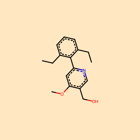 CCc1cccc(CC)c1-c1cc(OC)c(CO)cn1